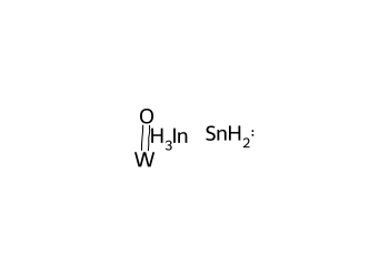 [InH3].[O]=[W].[SnH2]